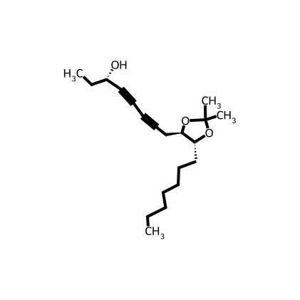 CCCCCCC[C@H]1OC(C)(C)O[C@@H]1CC#CC#C[C@@H](O)CC